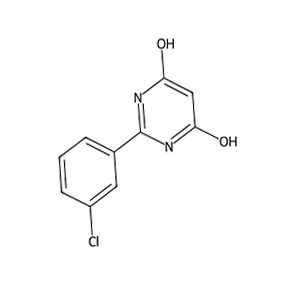 Oc1cc(O)nc(-c2cccc(Cl)c2)n1